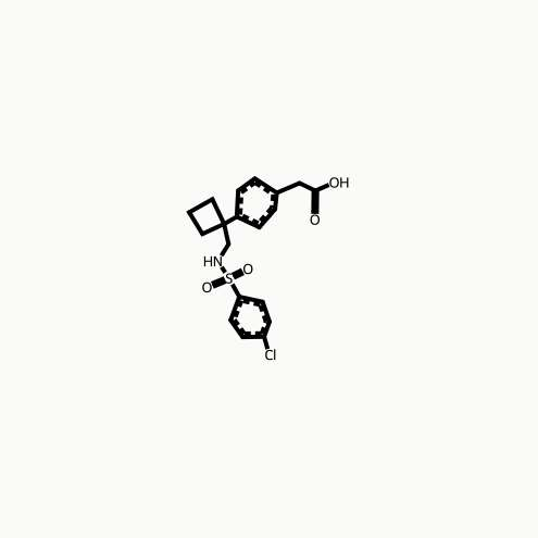 O=C(O)Cc1ccc(C2(CNS(=O)(=O)c3ccc(Cl)cc3)CCC2)cc1